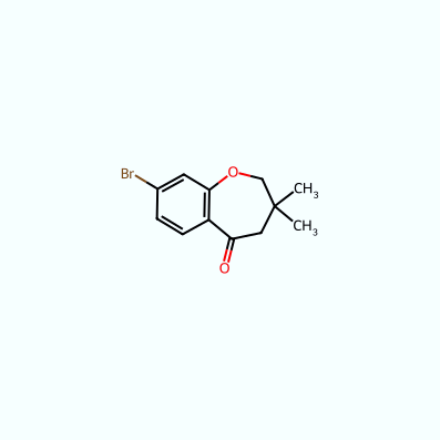 CC1(C)COc2cc(Br)ccc2C(=O)C1